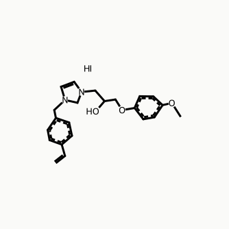 C=Cc1ccc(CN2C=CN(CC(O)COc3ccc(OC)cc3)C2)cc1.I